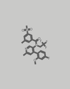 COc1cc(F)ccc1-c1cc(C)ncc1N(CC(F)(F)F)C(=O)c1cc(C)cc(S(C)(=O)=O)c1